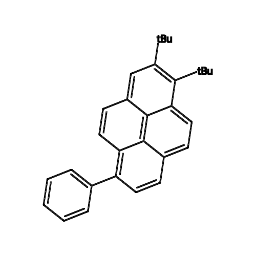 CC(C)(C)c1cc2ccc3c(-c4ccccc4)ccc4ccc(c1C(C)(C)C)c2c43